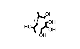 CC(O)COC(C)CO.OCC(O)CO